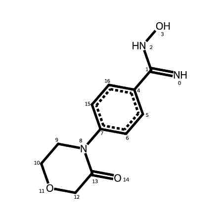 N=C(NO)c1ccc(N2CCOCC2=O)cc1